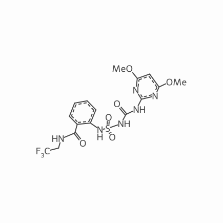 COc1cc(OC)nc(NC(=O)NS(=O)(=O)Nc2ccccc2C(=O)NCC(F)(F)F)n1